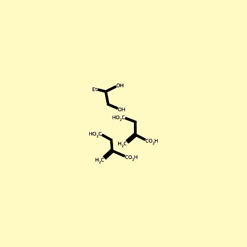 C=C(CC(=O)O)C(=O)O.C=C(CC(=O)O)C(=O)O.CCC(O)CO